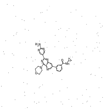 Nc1ncc(-c2nc(N3CCOCC3)c3ncc(-c4cccc(C(=O)NC5CC5)c4)cc3n2)cn1